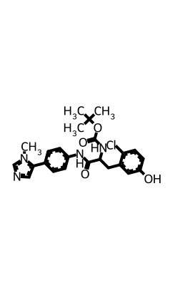 Cn1cncc1-c1ccc(NC(=O)C(Cc2cc(O)ccc2Cl)NC(=O)OC(C)(C)C)cc1